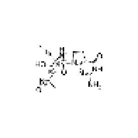 CC#C[C@@]1(N)C(O)[C@@H]([C@@H](C)N=O)O[C@H]1n1ccc2c(=O)[nH]c(N)nc21